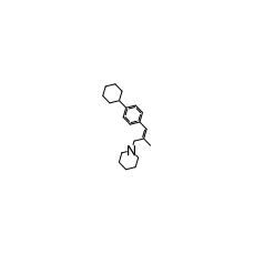 CC(=Cc1ccc(C2CCCCC2)cc1)CN1CCCCC1